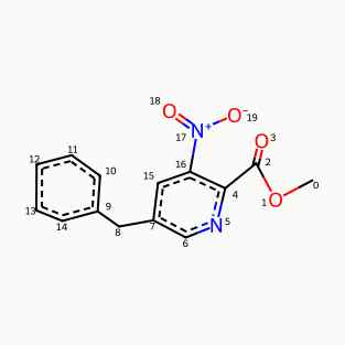 COC(=O)c1ncc(Cc2ccccc2)cc1[N+](=O)[O-]